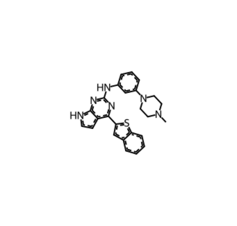 CN1CCN(c2cccc(Nc3nc(-c4cc5ccccc5s4)c4cc[nH]c4n3)c2)CC1